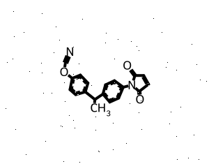 CC(c1ccc(OC#N)cc1)c1ccc(N2C(=O)C=CC2=O)cc1